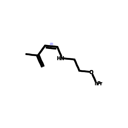 C=C(C)/C=C\NCCOCCC